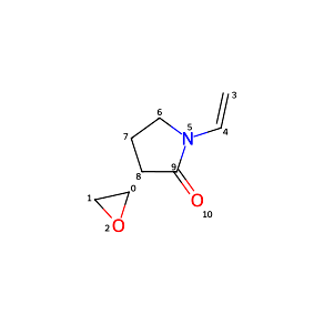 C1CO1.C=CN1CCCC1=O